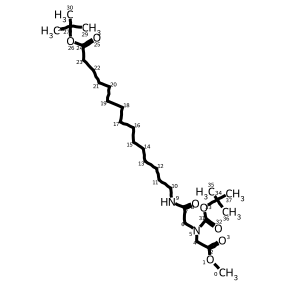 COC(=O)CN(CC(=O)NCCCCCCCCCCCCCCC(=O)OC(C)(C)C)C(=O)OC(C)(C)C